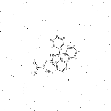 NC(=O)[C@@H](N)CC(=O)NC(c1ccccc1)(c1ccccc1)c1ccccc1